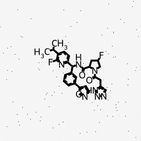 CC(C)c1ccc(C(NC(=O)C2CC(F)CN2C(=O)Cc2cnn[nH]2)c2cccc(-c3ccno3)c2)nc1F